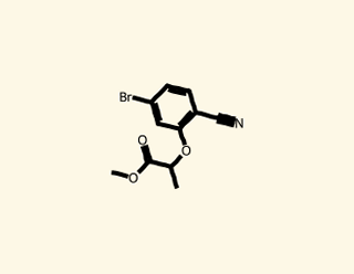 COC(=O)C(C)Oc1cc(Br)ccc1C#N